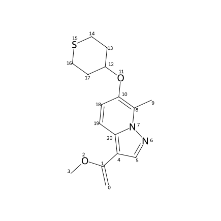 C=C(OC)c1cnn2c(C)c(OC3CCSCC3)ccc12